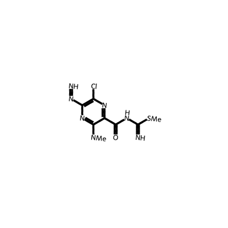 CNc1nc(N=N)c(Cl)nc1C(=O)NC(=N)SC